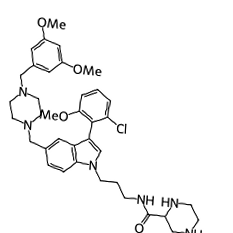 COc1cc(CN2CCN(Cc3ccc4c(c3)c(-c3c(Cl)cccc3OC)cn4CCCNC(=O)C3CNCCN3)CC2)cc(OC)c1